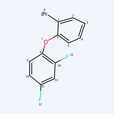 CC(C)c1ccccc1Oc1ccc(F)cc1F